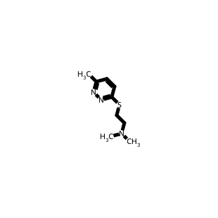 Cc1ccc(SCCN(C)C)nn1